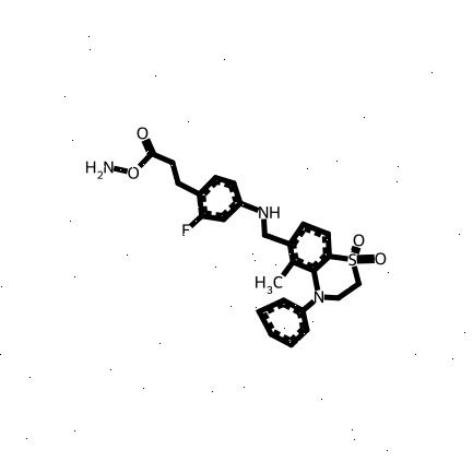 Cc1c(CNc2ccc(CCC(=O)ON)c(F)c2)ccc2c1N(c1ccccc1)CCS2(=O)=O